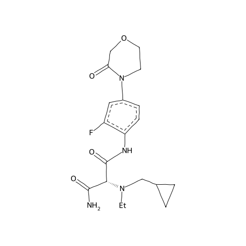 CCN(CC1CC1)[C@H](C(N)=O)C(=O)Nc1ccc(N2CCOCC2=O)cc1F